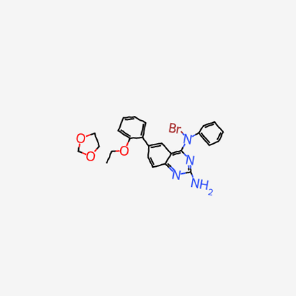 C1COCO1.CCOc1ccccc1-c1ccc2nc(N)nc(N(Br)c3ccccc3)c2c1